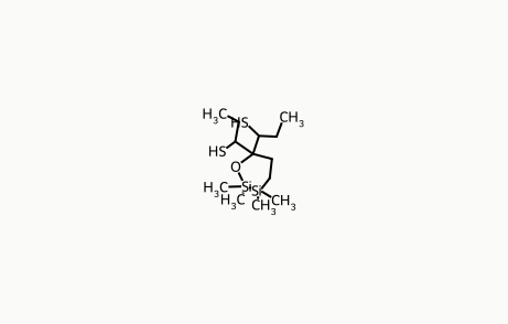 CCC(S)C1(C(S)CC)CC[Si](C)(C)[Si](C)(C)O1